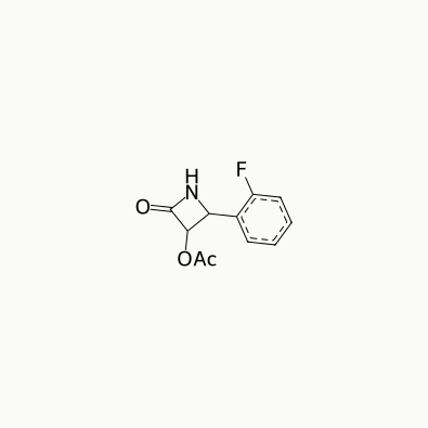 CC(=O)OC1C(=O)NC1c1ccccc1F